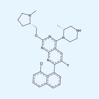 C[C@@H]1CNCCN1c1nc(OC[C@@H]2CCCN2C)nc2nc(-c3cccc4cccc(Cl)c34)c(F)cc12